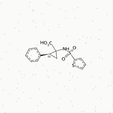 O=C(O)C1(NS(=O)(=O)c2cccs2)C[C@H]1c1ccccc1